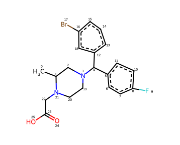 CC1CN(C(c2ccc(F)cc2)c2cccc(Br)c2)CCN1CC(=O)O